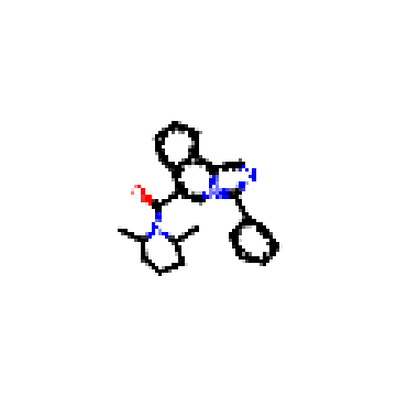 CC1CCCC(C)N1C(=O)c1cn2c(-c3ccccc3)ncc2c2ccccc12